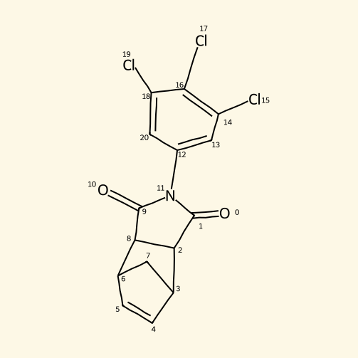 O=C1C2C3C=CC(C3)C2C(=O)N1c1cc(Cl)c(Cl)c(Cl)c1